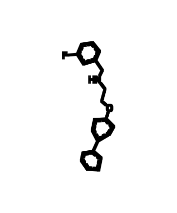 Fc1cccc(CNCCOc2ccc(-c3ccccc3)cc2)c1